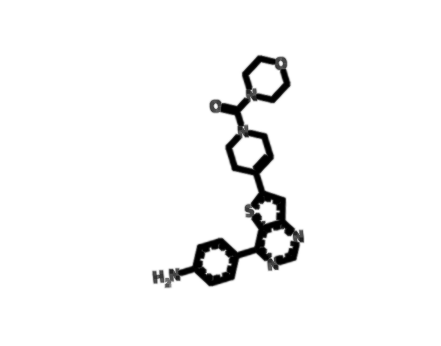 Nc1ccc(-c2ncnc3cc(C4=CCN(C(=O)N5CCOCC5)CC4)sc23)cc1